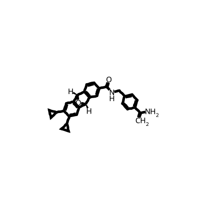 C=C(N)c1ccc(CNC(=O)c2ccc3c(c2)[C@H]2O[C@@H]3c3cc(C4CC4)c(C4CC4)cc32)cc1